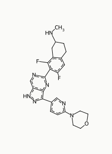 CNC1CCc2cc(F)c(-c3ncc4[nH]nc(-c5ccc(N6CCOCC6)nc5)c4n3)c(F)c2C1